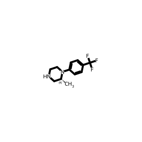 C[C@@H]1CNCCN1c1ccc(C(F)(F)F)cc1